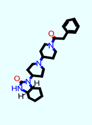 O=C(Cc1ccccc1)N1CCC(N2CCC(N3C(=O)N[C@@H]4CCCC[C@H]43)CC2)CC1